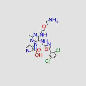 Cc1nc(NCCOCCN)c(NCc2ncc(-c3cc(Cl)ccc3Cl)o2)c(Nc2ccncc2C(=O)O)n1